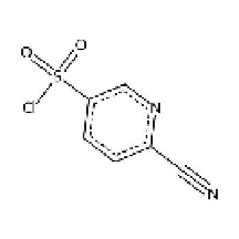 N#Cc1ccc(S(=O)(=O)Cl)cn1